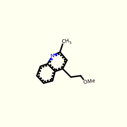 CO[CH]Cc1cc(C)nc2ccccc12